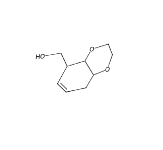 OCC1C=CCC2OCCOC12